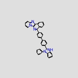 c1ccc(N2c3ccccc3NC2c2ccc(-c3ccc(-c4nc5c(nc6ccccn65)c5ccccc45)cc3)cc2)cc1